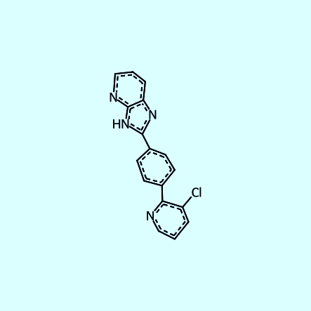 Clc1cccnc1-c1ccc(-c2nc3cccnc3[nH]2)cc1